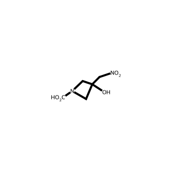 O=C(O)N1CC(O)(C[N+](=O)[O-])C1